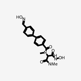 CNC(=O)C(C(=O)NO)N(C)C(=O)c1ccc(-c2ccc(C=NO)cc2)cc1